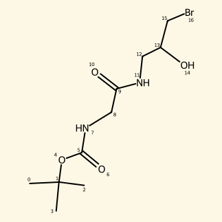 CC(C)(C)OC(=O)NCC(=O)NCC(O)CBr